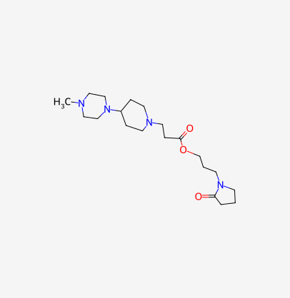 CN1CCN(C2CCN(CCC(=O)OCCCN3CCCC3=O)CC2)CC1